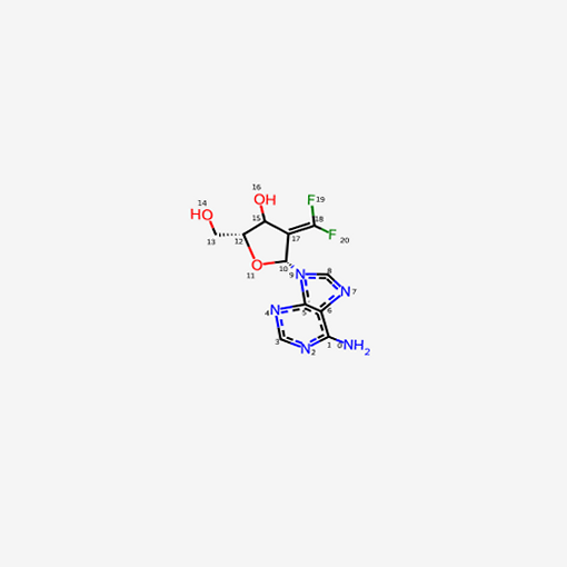 Nc1ncnc2c1ncn2[C@@H]1O[C@H](CO)C(O)C1=C(F)F